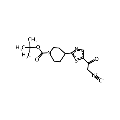 [C-]#[N+]CC(=O)c1cnc(C2CCN(C(=O)OC(C)(C)C)CC2)s1